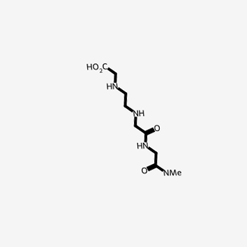 CNC(=O)CNC(=O)CNCCNCC(=O)O